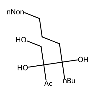 CCCCCCCCCCCCC(O)(CCCC)C(O)(CO)C(C)=O